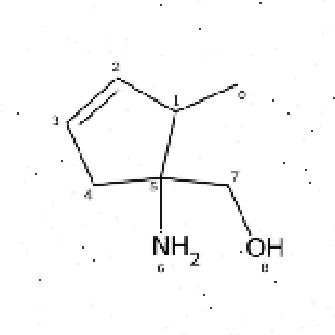 CC1C=CCC1(N)CO